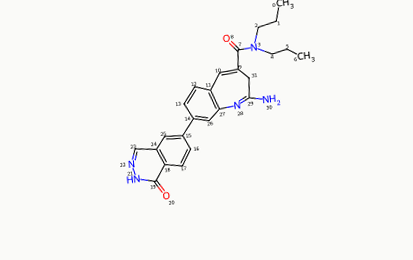 CCCN(CCC)C(=O)C1=Cc2ccc(-c3ccc4c(=O)[nH]ncc4c3)cc2N=C(N)C1